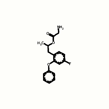 CC(Cc1ccc(F)cc1Oc1ccccc1)OC(=O)CN